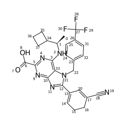 C[C@@H](Nc1nc(C(=O)O)nc2nc(C3=CCCC(C#N)=C3)n(Cc3ccc(C(F)(F)F)cc3)c12)C1CCC1